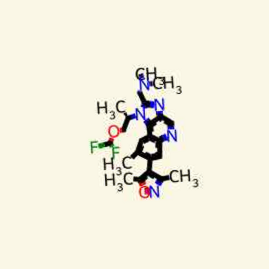 Cc1cc2c(cc1-c1c(C)noc1C)ncc1nc(CN(C)C)n([C@H](C)COC(F)F)c12